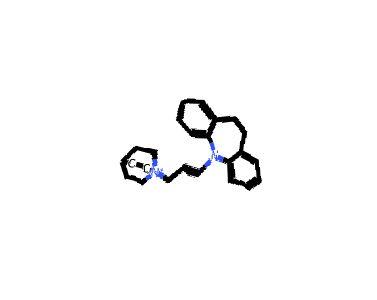 c1ccc2c(c1)CCc1ccccc1N2CCC[N+]12CCC(CC1)CC2